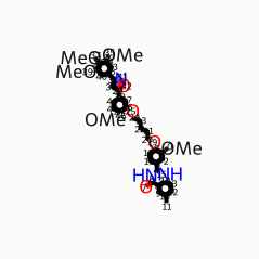 COc1cc(C2NC(=O)c3cc(C)ccc3N2)ccc1OCCCCCOc1cc(-c2cc(-c3cc(OC)c(OC)c(OC)c3)no2)ccc1OC